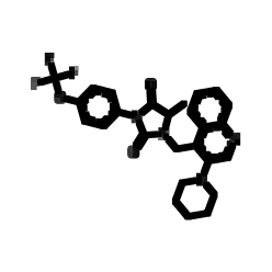 CC1C(=O)N(c2ccc(OC(F)(F)F)cc2)C(=O)N1Cc1c(N2CCCCC2)cnc2ccccc12